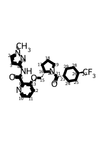 Cn1ccc(NC(=O)c2ncccc2OC[C@@H]2CCCN2C(=O)[C@H]2CC[C@H](C(F)(F)F)CC2)n1